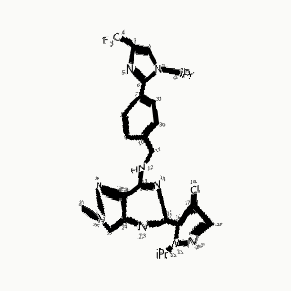 CC(C)n1cc(C(F)(F)F)nc1-c1ccc(CNc2nc(-c3c(Cl)cnn3C(C)C)nc3cn(C)nc23)cc1